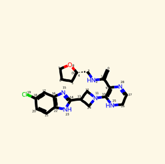 C=C(NC[C@@H]1CCCO1)C1=C(N2CC(c3nc4cc(Cl)ccc4[nH]3)C2)NCC=N1